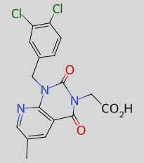 Cc1cnc2c(c1)c(=O)n(CC(=O)O)c(=O)n2Cc1ccc(Cl)c(Cl)c1